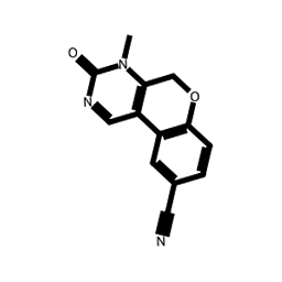 Cn1c2c(cnc1=O)-c1cc(C#N)ccc1OC2